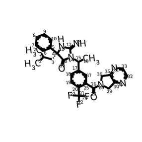 CC(C)C[C@]1(c2ccccc2)NC(=N)N(C(C)c2ccc(C(F)(F)F)c(C(=O)N3Cc4nccnc4C3)c2)C1=O